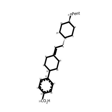 CCCCC[C@H]1CC[C@H](CC=C2CCC(c3ccc(C(=O)O)cc3)CC2)CC1